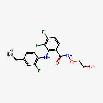 CC[C@H](C)Cc1ccc(Nc2c(C(=O)NOCCO)ccc(F)c2F)c(F)c1